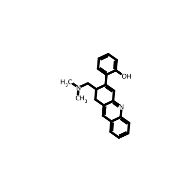 CN(C)CC1Cc2cc3ccccc3nc2C=C1c1ccccc1O